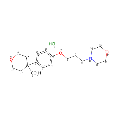 Cl.O=C(O)C1(c2ccc(OCCCN3CCOCC3)cc2)CCOCC1